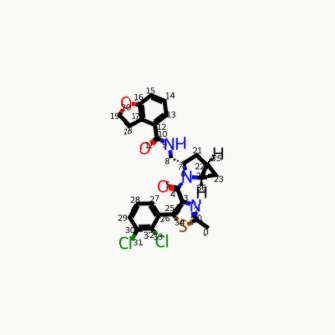 Cc1nc(C(=O)N2[C@H](CNC(=O)c3cccc4c3CCO4)C[C@@H]3C[C@@H]32)c(-c2cccc(Cl)c2Cl)s1